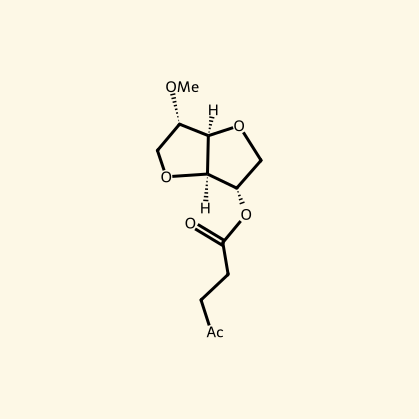 CO[C@H]1CO[C@H]2[C@@H]1OC[C@@H]2OC(=O)CCC(C)=O